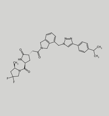 CC(C)c1ccc(-c2cn(Cc3cccc4c3CN(C(=O)C[C@@H]3C[C@@H](C(=O)N5CC(F)(F)C[C@H]5C)NC3=O)C4)nn2)cc1